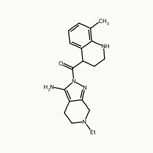 CCN1CCc2c(nn(C(=O)C3CCNc4c(C)cccc43)c2N)C1